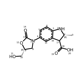 C[C@H]1Nc2ccc(N3C[C@H](CO)OC3=O)cc2C1C(=O)O